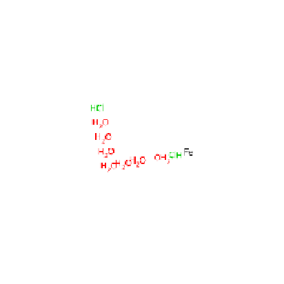 Cl.Cl.O.O.O.O.O.O.O.[Fe]